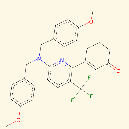 COc1ccc(CN(Cc2ccc(OC)cc2)c2ccc(C(F)(F)F)c(C3=CC(=O)CCC3)n2)cc1